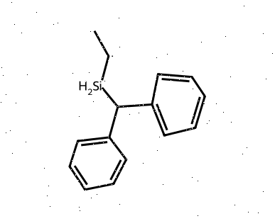 C[CH][SiH2]C(c1ccccc1)c1ccccc1